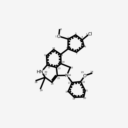 COc1cc(Cl)ccc1-c1ccc2c3c1CN(c1ccccc1OC)C3=CC(C)(C)N2